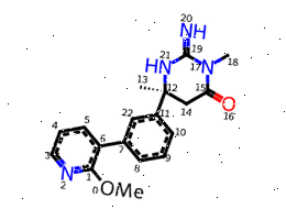 COc1ncccc1-c1cccc([C@]2(C)CC(=O)N(C)C(=N)N2)c1